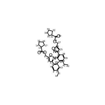 CCc1ccc(-c2cc(COC(=O)C3CCCC3)on2)c(-c2cc(-c3cc(COC(=O)C4CCCC4)on3)ccc2CC)c1